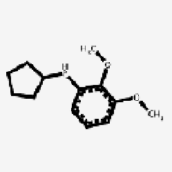 COc1cccc(PC2CCCC2)c1OC